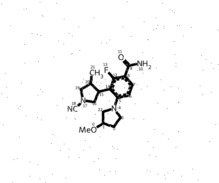 COC1CCN(c2ccc(C(N)=O)c(F)c2C2CN(C#N)CC2C)C1